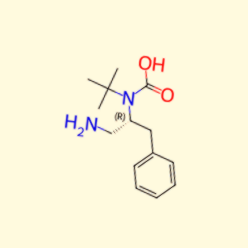 CC(C)(C)N(C(=O)O)[C@@H](CN)Cc1ccccc1